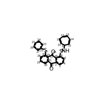 O=C1c2cccc(SNC3C=CC=CC=C3)c2C(=O)c2c(Sc3ccccc3)cccc21